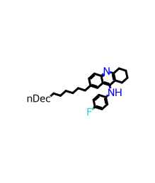 CCCCCCCCCCCCCCCCc1ccc2nc3c(c(Nc4ccc(F)cc4)c2c1)CCCC3